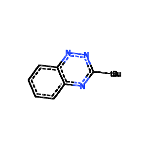 CC(C)(C)c1nnc2ccccc2n1